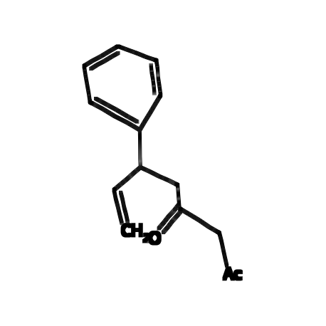 C=CC(CC(=O)CC(C)=O)c1ccccc1